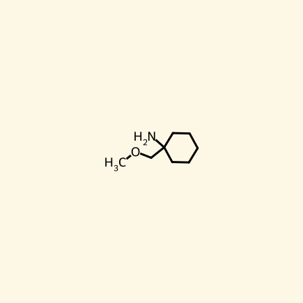 COCC1(N)CCCCC1